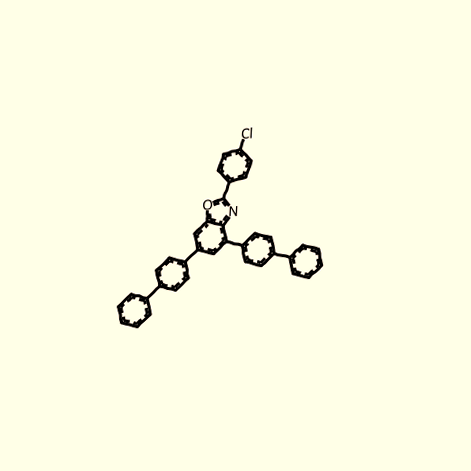 Clc1ccc(-c2nc3c(-c4ccc(-c5ccccc5)cc4)cc(-c4ccc(-c5ccccc5)cc4)cc3o2)cc1